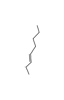 C[CH]C=CCCCC